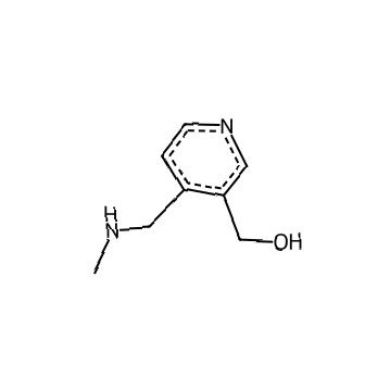 CNCc1ccncc1CO